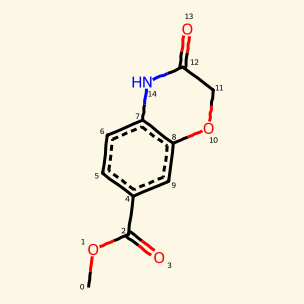 COC(=O)c1ccc2c(c1)OCC(=O)N2